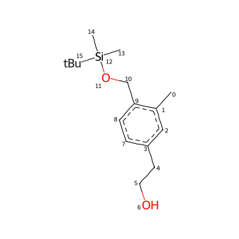 Cc1cc(CCO)ccc1CO[Si](C)(C)C(C)(C)C